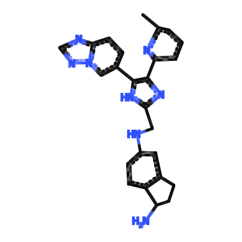 Cc1cccc(-c2nc(CNc3ccc4c(c3)CCC4N)[nH]c2-c2ccc3ncnn3c2)n1